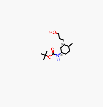 CC1CC[C@@H](NC(=O)OC(C)(C)C)C[C@@H]1CCCO